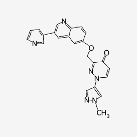 Cn1cc(-n2ccc(=O)c(COc3ccc4ncc(-c5cccnc5)cc4c3)n2)cn1